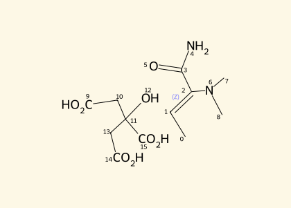 C/C=C(/C(N)=O)N(C)C.O=C(O)CC(O)(CC(=O)O)C(=O)O